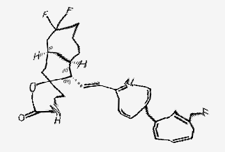 O=C1NCC2(C[C@H]3CC(F)(F)CC[C@H]3[C@@H]2C=Cc2ccc(-c3cccc(F)c3)cn2)O1